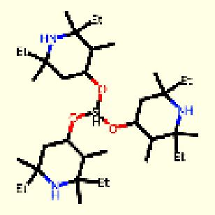 CCC1(C)CC(O[SiH](OC2CC(C)(CC)NC(C)(CC)C2C)OC2CC(C)(CC)NC(C)(CC)C2C)C(C)C(C)(CC)N1